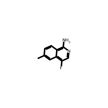 Cc1ccc2c(N)ncc(F)c2c1